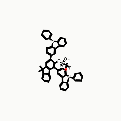 CC1(C)c2ccccc2-c2c1cc(-c1ccc3c(c1)c1ccccc1n3-c1ccccc1)c(OS(=O)(=O)C(F)(F)F)c2-c1ccc2c(c1)c1ccccc1n2-c1ccccc1